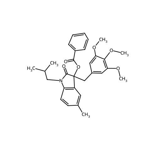 COc1cc(CC2(OC(=O)c3ccccc3)C(=O)N(CC(C)C)c3ccc(C)cc32)cc(OC)c1OC